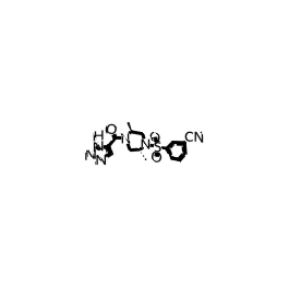 C[C@@H]1CN(C(=O)c2cnn[nH]2)[C@@H](C)CN1S(=O)(=O)c1cccc(C#N)c1